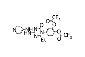 CCc1nc(NNc2ccncc2)nc(=O)n1-c1ccc(OC(=O)C(F)(F)F)c(OC(=O)C(F)(F)F)c1